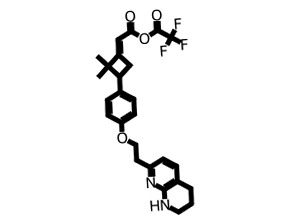 CC1(C)C(=CC(=O)OC(=O)C(F)(F)F)CC1c1ccc(OCCc2ccc3c(n2)NCCC3)cc1